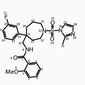 COc1ccccc1C(=O)NCC1(c2cccc(F)c2)CCCN(S(=O)(=O)n2ccnc2C)CC1